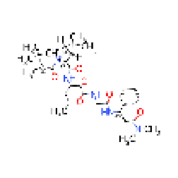 CCCC(NC(=O)[C@@H]1[C@@H]2[C@H](CN1C(=O)[C@@H](C)C(C)(C)C)C2(C)C)C(=O)C(=O)NCC(=O)N[C@H](CC(=O)N(C)C)c1ccccc1